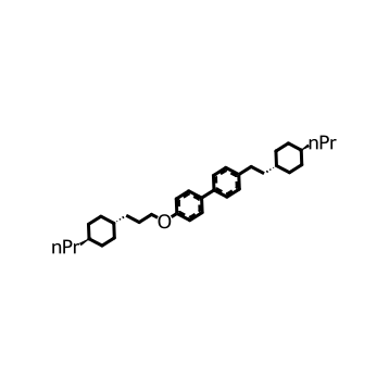 CCC[C@H]1CC[C@H](CCCOc2ccc(-c3ccc(CC[C@H]4CC[C@H](CCC)CC4)cc3)cc2)CC1